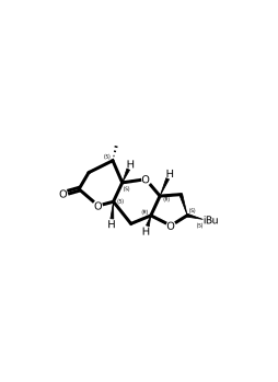 CC[C@H](C)[C@@H]1C[C@H]2O[C@@H]3[C@H](C[C@H]2O1)OC(=O)C[C@@H]3C